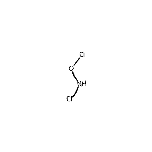 ClNOCl